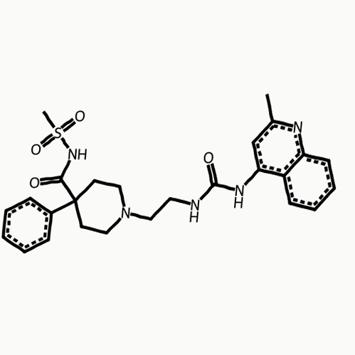 Cc1cc(NC(=O)NCCN2CCC(C(=O)NS(C)(=O)=O)(c3ccccc3)CC2)c2ccccc2n1